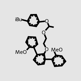 CCC(C)c1ccc(OC(C)OCCOc2c(-c3ccccc3OC)cccc2-c2ccccc2OC)cc1